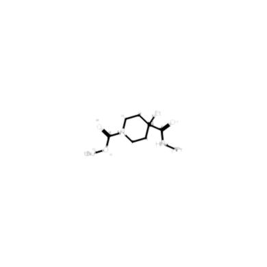 CCC1(C(=O)NC(C)C)CCN(C(=O)OC(C)(C)C)CC1